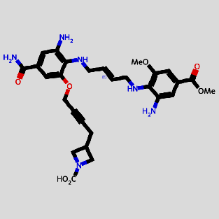 COC(=O)c1cc(N)c(NC/C=C/CNc2c(N)cc(C(N)=O)cc2OCC#CCC2CN(C(=O)O)C2)c(OC)c1